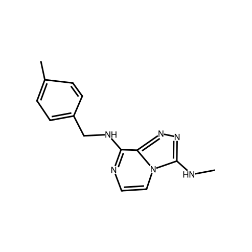 CNc1nnc2c(NCc3ccc(C)cc3)nccn12